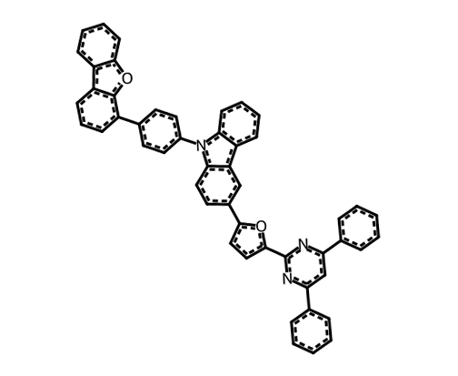 c1ccc(-c2cc(-c3ccccc3)nc(-c3ccc(-c4ccc5c(c4)c4ccccc4n5-c4ccc(-c5cccc6c5oc5ccccc56)cc4)o3)n2)cc1